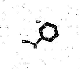 O=NNc1ccccc1.[Cu]